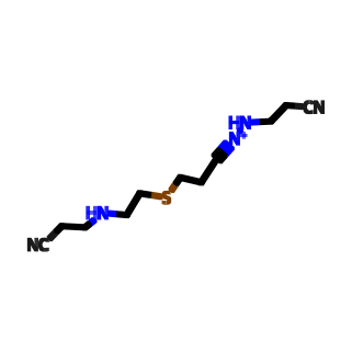 N#CCCNCCSCCC#[N+]NCCC#N